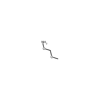 COCON